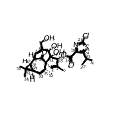 CC1=C[C@]23C(=O)[C@@H](C=C(CO)[C@@H](O)[C@]2(O)[C@H]1OC(=O)c1nc(Cl)sc1C(C)C)[C@H]1[C@@H](C[C@H]3C)C1(C)C